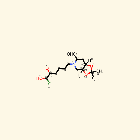 CC1(C)O[C@H]2CC(C=O)N(CCCC[C@H](O)C(O)Cl)C[C@H]2O1